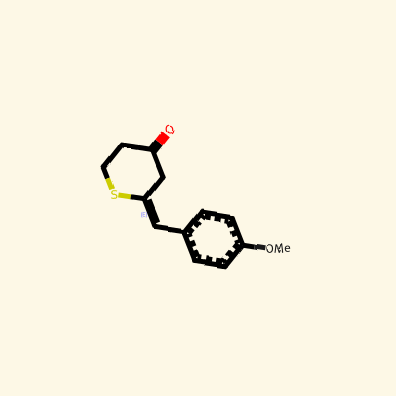 COc1ccc(/C=C2\CC(=O)CCS2)cc1